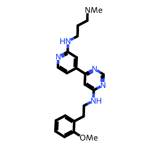 CNCCCNc1cc(-c2cc(NCCc3ccccc3OC)ncn2)ccn1